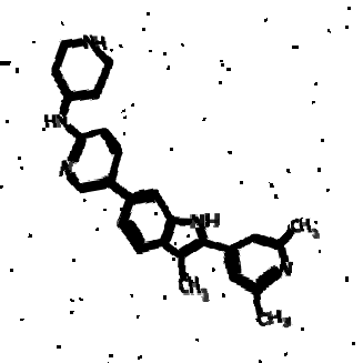 Cc1cc(-c2[nH]c3cc(-c4ccc(NC5CCNCC5)nc4)ccc3c2C)cc(C)n1